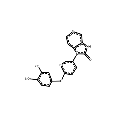 CC(C)c1cc(Oc2ccc(-n3c(=O)[nH]c4cnccc43)cn2)ccc1C#N